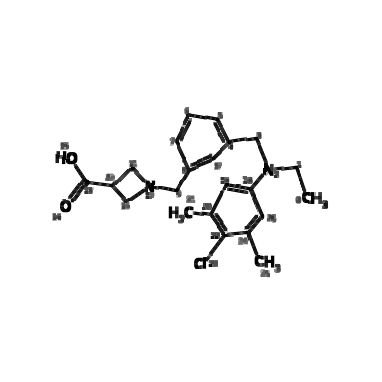 CCN(Cc1cccc(CN2CC(C(=O)O)C2)c1)c1cc(C)c(Cl)c(C)c1